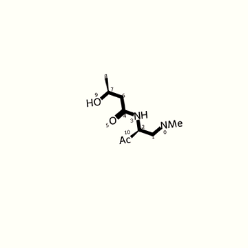 CNC[C@H](NC(=O)C[C@H](C)O)C(C)=O